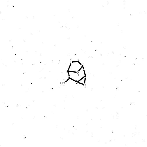 OC1C2OCC(O2)C2OC12